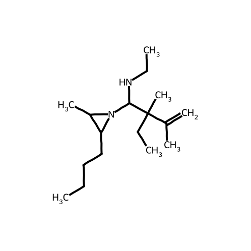 C=C(C)C(C)(CC)C(NCC)N1C(C)C1CCCC